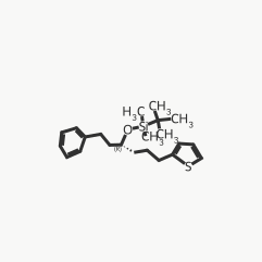 CC(C)(C)[Si](C)(C)O[C@H](CCCc1cccs1)CCc1ccccc1